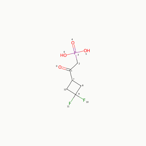 O=C(CP(=O)(O)O)C1CC(F)(F)C1